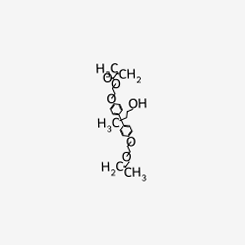 C=C(C)COCCOc1ccc(C(C)(CCCO)c2ccc(OCCOC(=O)C(=C)C)cc2)cc1